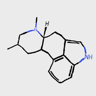 CC1CC2c3cccc4[nH]cc(c34)C[C@H]2N(C)C1